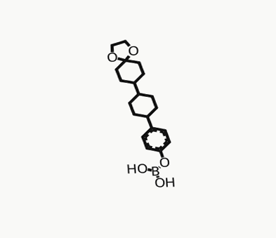 OB(O)Oc1ccc(C2CCC(C3CCC4(CC3)OCCO4)CC2)cc1